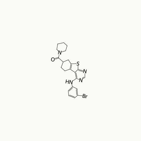 O=C(C1CCc2c(sc3ncnc(Nc4cccc(Br)c4)c23)C1)N1CCCCC1